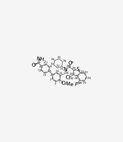 COc1ccc(-c2ccc(C(N)=O)cc2)cc1CN(C(=O)c1sc2cccc(F)c2c1Cl)C1CCCCC1